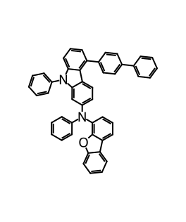 c1ccc(-c2ccc(-c3cccc4c3c3ccc(N(c5ccccc5)c5cccc6c5oc5ccccc56)cc3n4-c3ccccc3)cc2)cc1